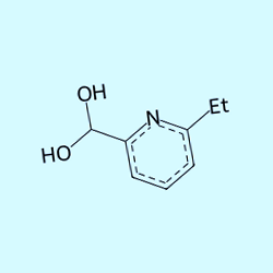 CCc1cccc(C(O)O)n1